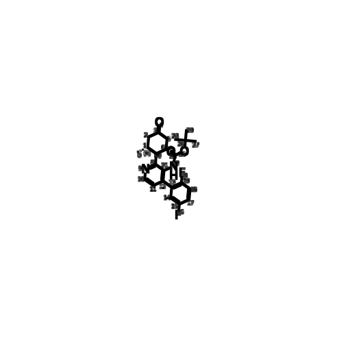 C[C@@H]1CC(=O)CC[C@H]1c1nccc(-c2cc(F)ccc2F)c1NC(=O)OC(C)(C)C